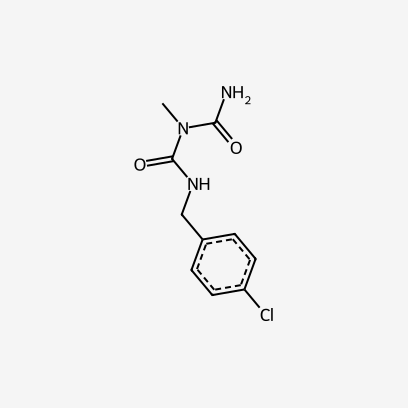 CN(C(N)=O)C(=O)NCc1ccc(Cl)cc1